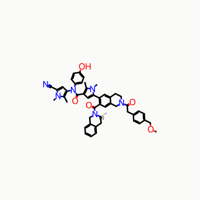 COCc1ccc(CC(=O)N2CCc3cc(-c4cc(C(=O)N(c5ccc(O)cc5)c5cc(C#N)n(C)c5C)c(C)n4C)c(C(=O)N4Cc5ccccc5C[C@H]4C)cc3C2)cc1